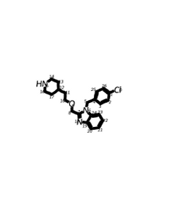 Clc1ccc(Cn2c(COCCC3CCNCC3)nc3ccccc32)cc1